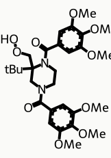 COc1cc(C(=O)N2CCN(C(=O)c3cc(OC)c(OC)c(OC)c3)C(COC=O)(C(C)(C)C)C2)cc(OC)c1OC